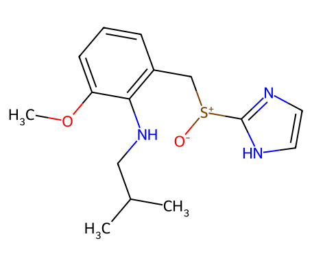 COc1cccc(C[S+]([O-])c2ncc[nH]2)c1NCC(C)C